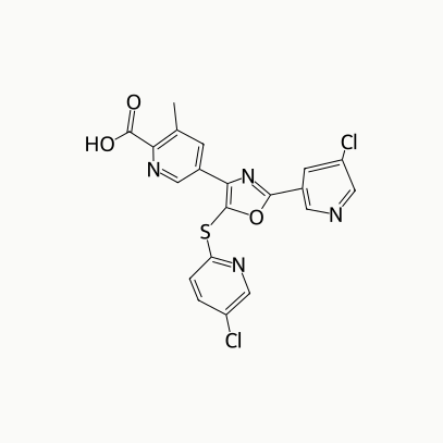 Cc1cc(-c2nc(-c3cncc(Cl)c3)oc2Sc2ccc(Cl)cn2)cnc1C(=O)O